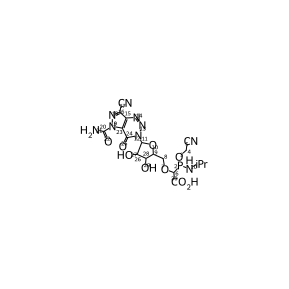 CC(C)NP(OCC#N)C(OCC1OC(n2nnc3c(C#N)nn(C(N)=O)c3c2=O)C(O)C1O)C(=O)O